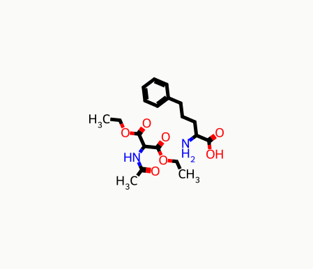 CCOC(=O)C(NC(C)=O)C(=O)OCC.NC(CCCc1ccccc1)C(=O)O